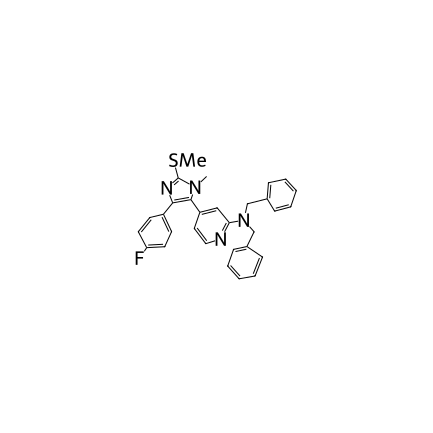 CSc1nc(-c2ccc(F)cc2)c(-c2ccnc(N(Cc3ccccc3)Cc3ccccc3)c2)n1C